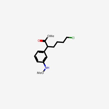 CONc1cccc(C(CCCCCl)C(=O)OC)c1